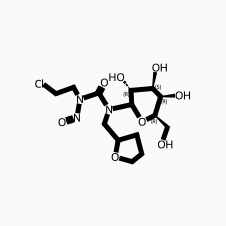 O=NN(CCCl)C(=O)N(CC1CCCO1)C1O[C@H](CO)[C@H](O)[C@H](O)[C@H]1O